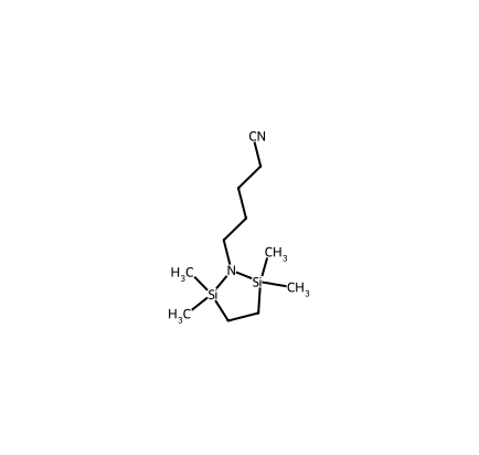 C[Si]1(C)CC[Si](C)(C)N1CCCCC#N